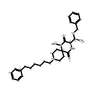 CCCN1C(=O)[C@@H]([C@H](C)OCc2ccccc2)NC(=O)C12CCN(CCCCCCc1ccccc1)CC2